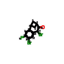 O=C1C2CC(C2)c2cc(F)c(Br)cc2C1Br